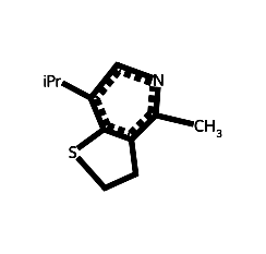 Cc1ncc(C(C)C)c2c1CCS2